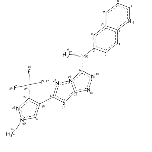 C[C@H](c1ccc2ncccc2c1)c1nnc2sc(-c3cn(C)nc3C(F)(F)F)nn12